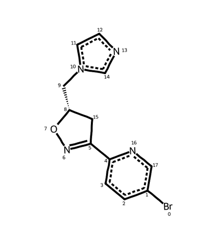 Brc1ccc(C2=NO[C@H](Cn3ccnc3)C2)nc1